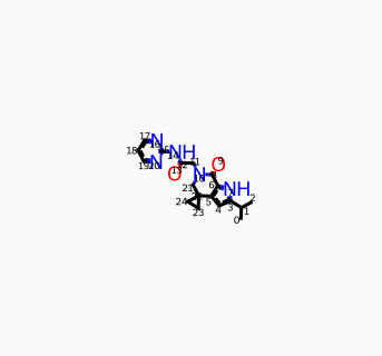 CC(C)c1cc2c([nH]1)C(=O)N(CC(=O)Nc1ncccn1)CC21CC1